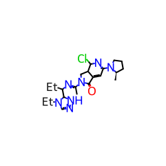 CCC(/N=C(\C)N1CC2C(=CC(N3CCC[C@H]3C)=NC2Cl)C1=O)C1NN=CN1CC